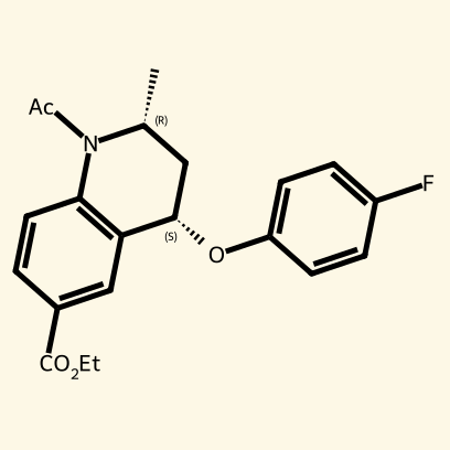 CCOC(=O)c1ccc2c(c1)[C@@H](Oc1ccc(F)cc1)C[C@@H](C)N2C(C)=O